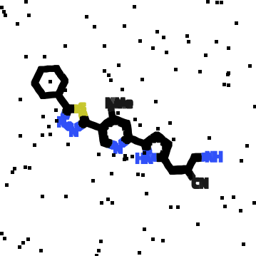 CNc1cc(-c2ccc(/C=C(/C#N)C=N)[nH]2)ncc1-c1nnc(C2CCCCC2)s1